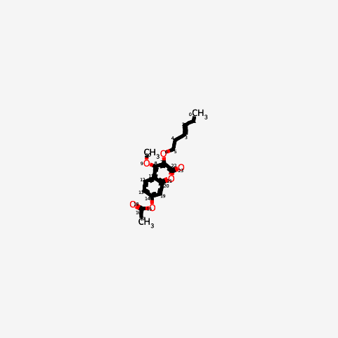 CCC=CCCOc1c(OC)c2ccc(OC(C)=O)cc2oc1=O